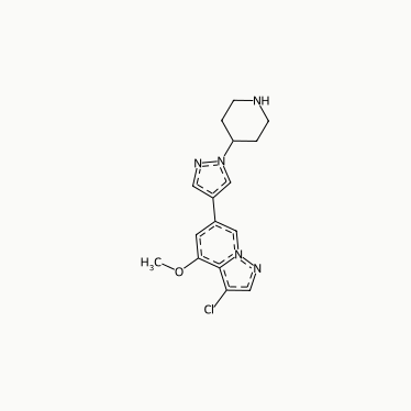 COc1cc(-c2cnn(C3CCNCC3)c2)cn2ncc(Cl)c12